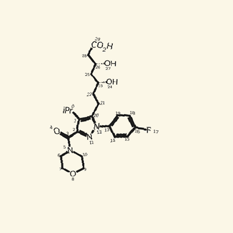 CC(C)c1c(C(=O)N2CCOCC2)nn(-c2ccc(F)cc2)c1CC[C@@H](O)C[C@@H](O)CC(=O)O